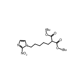 CC(C)(C)OC(=O)C(CCCCCn1ccnc1[N+](=O)[O-])C(=O)OC(C)(C)C